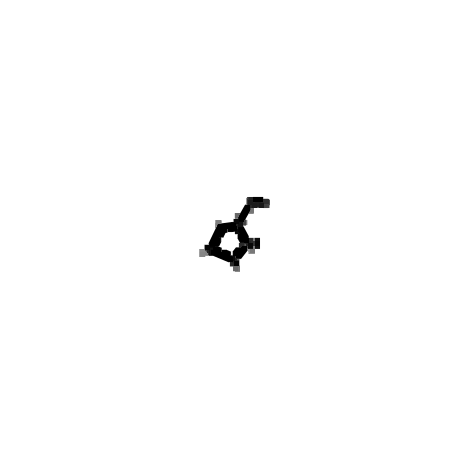 CS[n+]1cnn[nH]1